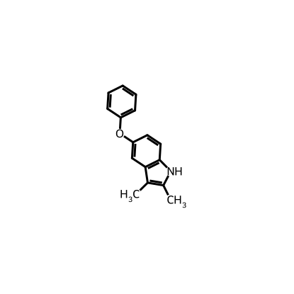 Cc1[nH]c2ccc(Oc3ccccc3)cc2c1C